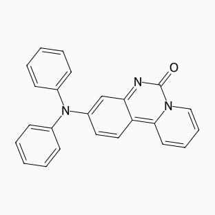 O=c1nc2cc(N(c3ccccc3)c3ccccc3)ccc2c2ccccn12